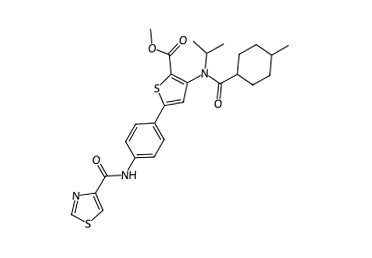 COC(=O)c1sc(-c2ccc(NC(=O)c3cscn3)cc2)cc1N(C(=O)C1CCC(C)CC1)C(C)C